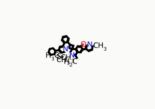 C=CC1=NCC2(CC3c4ccccc4-c4cc(C5CCCCC5)c([Si](C)(C)C)c[n+]4C32)c2cc3oc4nc(C)ccc4c3cc21